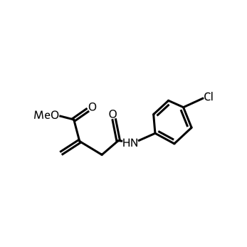 C=C(CC(=O)Nc1ccc(Cl)cc1)C(=O)OC